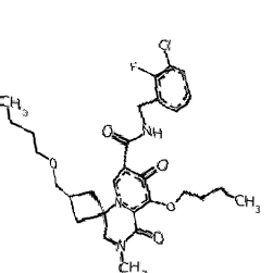 CCCCOC[C@H]1C[C@@]2(CN(C)C(=O)c3c(OCCCC)c(=O)c(C(=O)NCc4cccc(Cl)c4F)cn32)C1